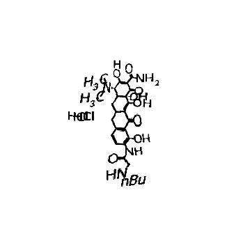 CCCCNCC(=O)Nc1ccc2c(c1O)C(=O)C1=C(O)[C@]3(O)C(=O)C(C(N)=O)=C(O)[C@@H](N(C)C)C3CC1C2.Cl.Cl